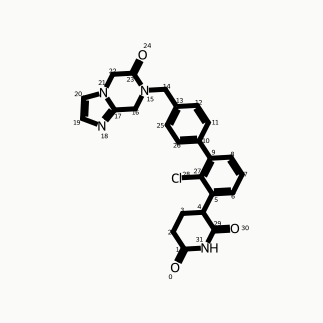 O=C1CCC(c2cccc(-c3ccc(CN4Cc5nccn5CC4=O)cc3)c2Cl)C(=O)N1